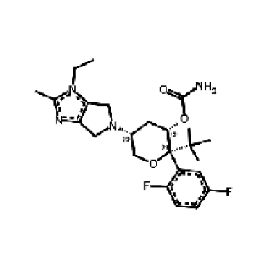 CCn1c(C)nc2c1CN([C@H]1CO[C@@](c3cc(F)ccc3F)(C(C)(C)C)[C@@H](OC(N)=O)C1)C2